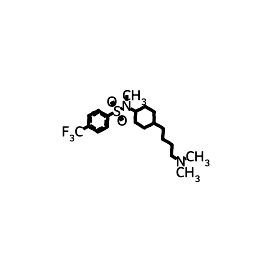 CN(C)CCCCC1CCC(N(C)S(=O)(=O)c2ccc(C(F)(F)F)cc2)CC1